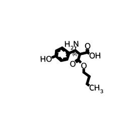 CCCCOC(=O)C(C(=O)O)[C@@H](N)c1ccc(O)cc1